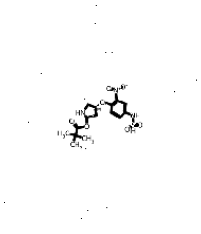 CC(C)(C)C(=O)OC1C[C@@H](Oc2ccc(N[SH](=O)=O)cc2[N+](=O)[O-])CN1